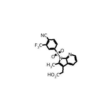 Cc1c(CC(=O)O)c2cccnc2n1S(=O)(=O)c1ccc(C#N)c(C(F)(F)F)c1